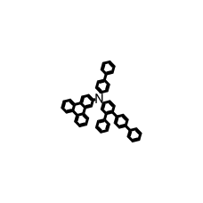 c1ccc(-c2ccc(-c3ccc(N(c4ccc(-c5ccccc5)cc4)c4ccc5c6ccccc6c6ccccc6c5c4)cc3-c3ccccc3)cc2)cc1